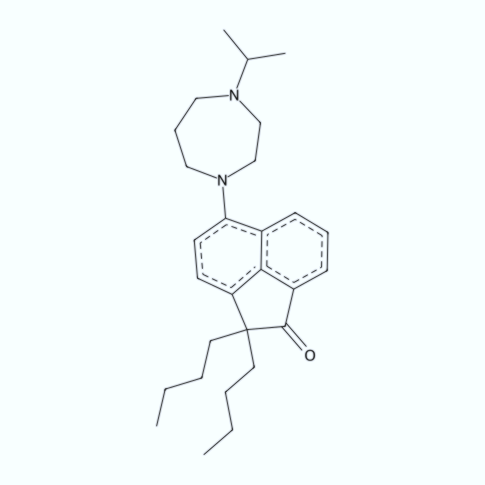 CCCCC1(CCCC)C(=O)c2cccc3c(N4CCCN(C(C)C)CC4)ccc1c23